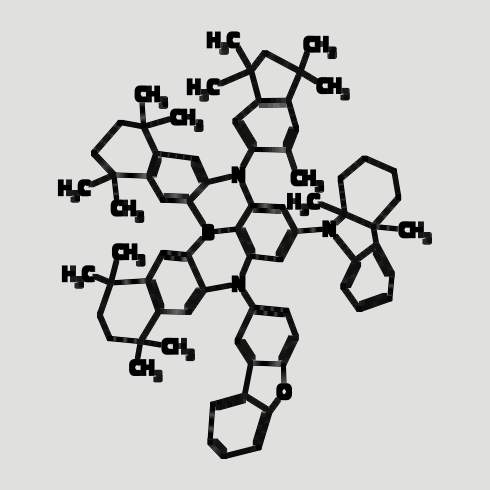 Cc1cc2c(cc1N1c3cc4c(cc3B3c5cc6c(cc5N(c5ccc7oc8ccccc8c7c5)c5cc(N7c8ccccc8C8(C)CCCCC78C)cc1c53)C(C)(C)CCC6(C)C)C(C)(C)CCC4(C)C)C(C)(C)CC2(C)C